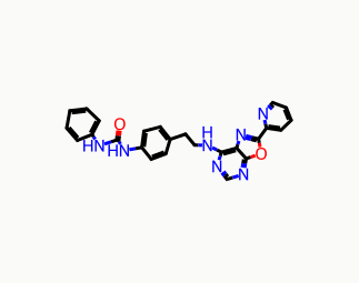 O=C(Nc1ccccc1)Nc1ccc(CCNc2ncnc3oc(-c4ccccn4)nc23)cc1